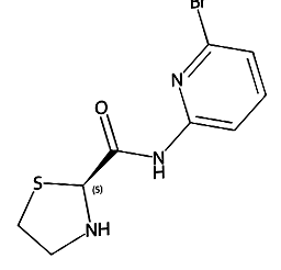 O=C(Nc1cccc(Br)n1)[C@H]1NCCS1